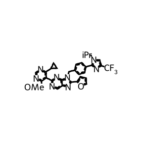 COc1ncnc(C2CC2)c1-c1ncc2nc(-c3ccco3)n(Cc3ccc(-c4nc(C(F)(F)F)cn4C(C)C)cc3)c2n1